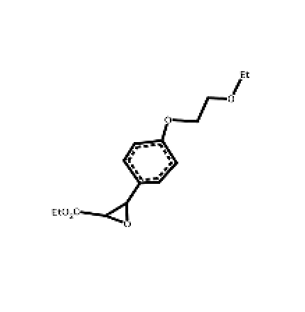 CCOCCOc1ccc(C2OC2C(=O)OCC)cc1